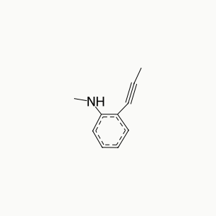 CC#Cc1ccccc1NC